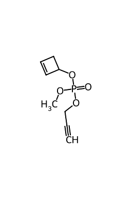 C#CCOP(=O)(OC)OC1C=CC1